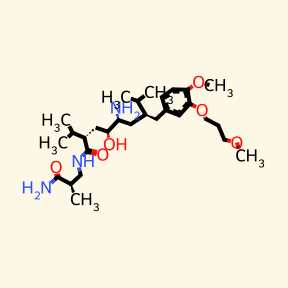 COCCCOc1cc(C[C@@H](C[C@H](N)[C@@H](O)C[C@H](C(=O)NC[C@@H](C)C(N)=O)C(C)C)C(C)C)ccc1OC